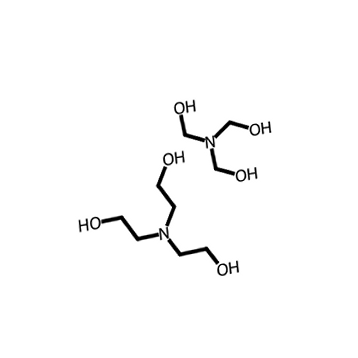 OCCN(CCO)CCO.OCN(CO)CO